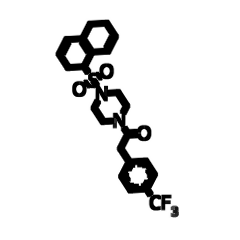 O=C(Cc1ccc(C(F)(F)F)cc1)N1CCN(S(=O)(=O)C2CC=CC3=C2C=CCC3)CC1